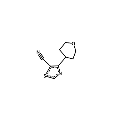 N#Cc1scnc1C1CCOCC1